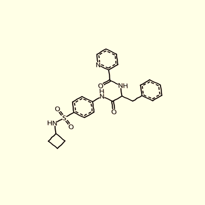 O=C(NC(Cc1ccccc1)C(=O)Nc1ccc(S(=O)(=O)NC2CCC2)cc1)c1ccccn1